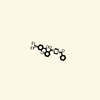 CCN(CC)c1ccc(C(=O)c2ccccc2C(=O)N2CCN(C(=O)c3[c]cccc3)CC2)c(O)c1